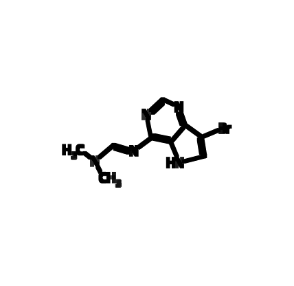 CN(C)C=Nc1ncnc2c(Br)c[nH]c12